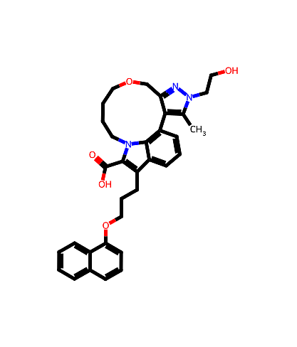 Cc1c2c(nn1CCO)COCCCCn1c(C(=O)O)c(CCCOc3cccc4ccccc34)c3cccc-2c31